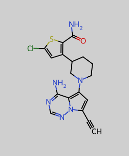 C#Cc1cc(N2CCCC(c3cc(Cl)sc3C(N)=O)C2)c2c(N)ncnn12